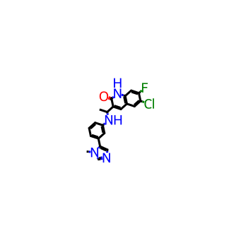 CC(Nc1cccc(-c2cncn2C)c1)c1cc2cc(Cl)c(F)cc2[nH]c1=O